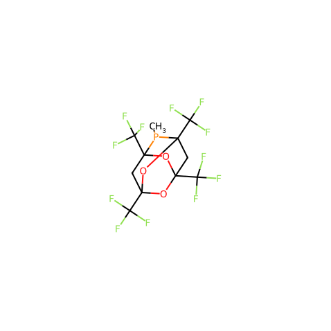 CP1C2(C(F)(F)F)CC3(C(F)(F)F)OC(C(F)(F)F)(CC1(C(F)(F)F)O3)O2